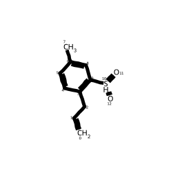 C=CCc1ccc(C)cc1[SH](=O)=O